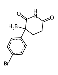 BC1(c2ccc(Br)cc2)CCC(=O)NC1=O